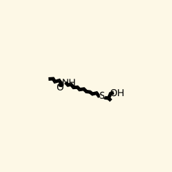 CCCCC(=O)NCCCCCCCCCCCSCC(C)CO